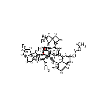 COCOc1cc(-c2cc3nc(OC[C@@]45CCCN4C[C@H](F)C5)ncc3c(N3CCC34CC(F)(F)C4)n2)c2c(C#C[Si](C(C)C)(C(C)C)C(C)C)c(F)ccc2c1